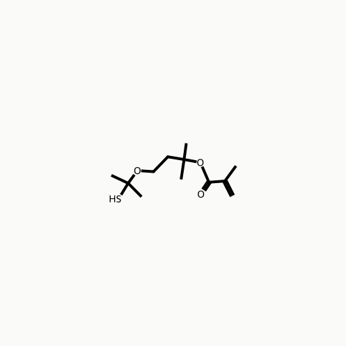 C=C(C)C(=O)OC(C)(C)CCOC(C)(C)S